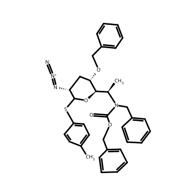 Cc1ccc(SC2O[C@H]([C@@H](C)N(Cc3ccccc3)C(=O)OCc3ccccc3)[C@@H](OCc3ccccc3)C[C@H]2N=[N+]=[N-])cc1